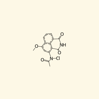 COc1cc(N(Cl)C(C)=O)c2c3c(cccc13)C(=O)NC2=O